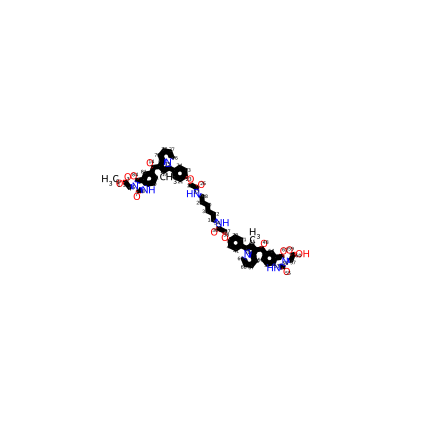 COC(=O)Cn1c(=O)[nH]c2ccc(C(=O)c3c(C)c(-c4ccc(OCC(=O)NCCCCCCNC(=O)COc5ccc(-c6c(C)c(C(=O)c7ccc8[nH]c(=O)n(CC(=O)O)c(=O)c8c7)c7ccccn67)cc5)cc4)n4ccccc34)cc2c1=O